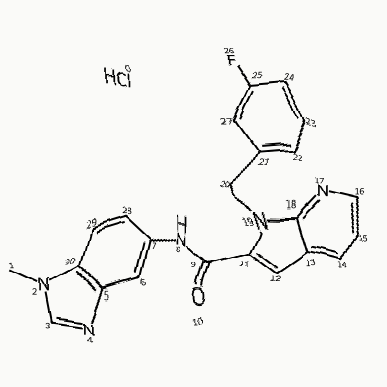 Cl.Cn1cnc2cc(NC(=O)c3cc4cccnc4n3Cc3cccc(F)c3)ccc21